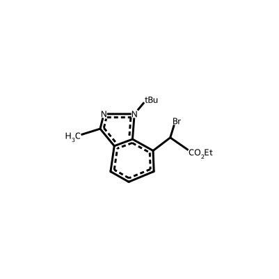 CCOC(=O)C(Br)c1cccc2c(C)nn(C(C)(C)C)c12